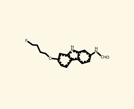 O=CNc1ccc2c(c1)[nH]c1cc(OCCCCF)ccc12